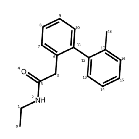 CCNC(=O)Cc1ccccc1-c1ccccc1C